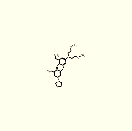 CCc1cc(N(CCOC)CCOC)cc2c1N=C1C(C)=CC(N3CCCC3)C=C1S2